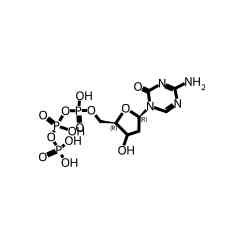 Nc1ncn([C@H]2CC(O)[C@@H](COP(=O)(O)OP(=O)(O)OP(=O)(O)O)O2)c(=O)n1